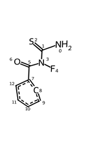 NC(=S)N(F)C(=O)c1ccccc1